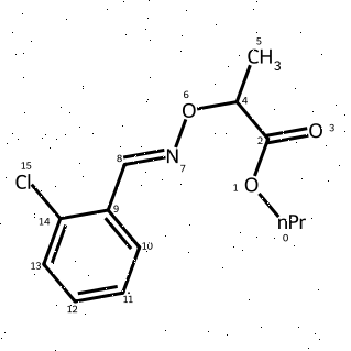 CCCOC(=O)C(C)ON=Cc1c[c]ccc1Cl